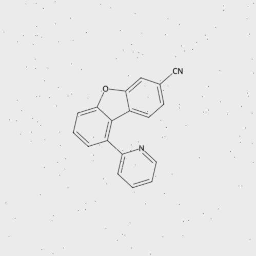 N#Cc1ccc2c(c1)oc1cccc(-c3ccccn3)c12